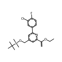 C=C(OCC)c1cc(CO[Si](C)(C)C(C)(C)C)cc(-c2ccc(F)c(Cl)c2)n1